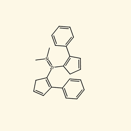 C[Si](C)=[Zr]([C]1=C(c2ccccc2)C=CC1)[C]1=C(c2ccccc2)C=CC1